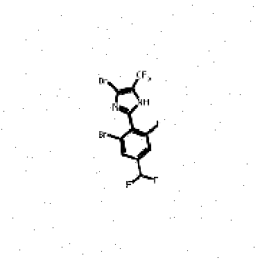 Fc1cc(C(F)F)cc(Br)c1-c1nc(Br)c(C(F)(F)F)[nH]1